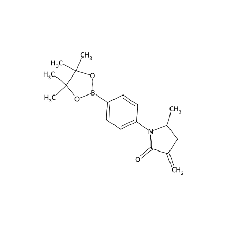 C=C1CC(C)N(c2ccc(B3OC(C)(C)C(C)(C)O3)cc2)C1=O